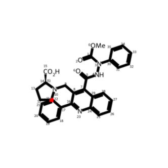 COC(=O)N(NC(=O)c1c(CN2CCC[C@H]2C(=O)O)c(-c2ccccc2)nc2ccccc12)c1ccccc1